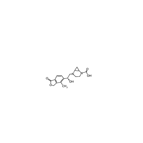 Cc1c([C@H](O)CN2CCN(C(=O)O)C3CC32)ccc2c1COC2=O